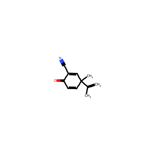 C=C(C)C1(C)C=CC(=O)C(C#N)=C1